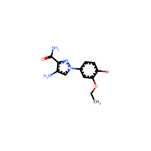 CCOc1cc(-n2cc(N)c(C(N)=O)n2)ccc1Br